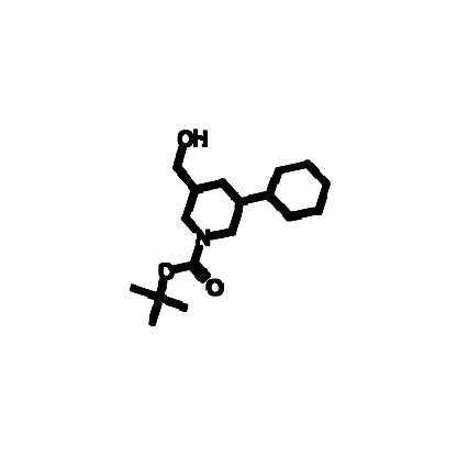 CC(C)(C)OC(=O)N1CC(CO)CC(C2CCCCC2)C1